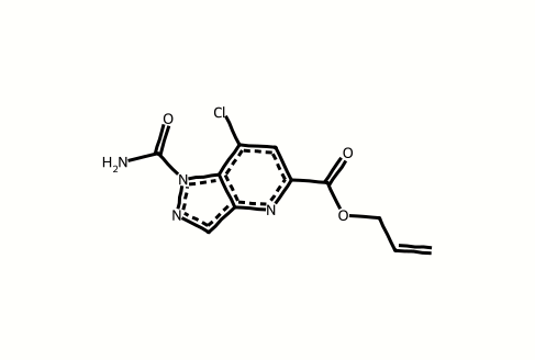 C=CCOC(=O)c1cc(Cl)c2c(cnn2C(N)=O)n1